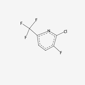 Fc1ccc(C(F)(F)F)nc1Cl